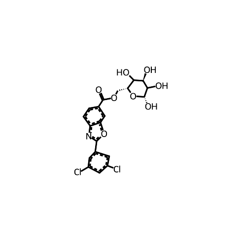 O=C(OC[C@H]1O[C@@H](O)C(O)[C@H](O)C1O)c1ccc2nc(-c3cc(Cl)cc(Cl)c3)oc2c1